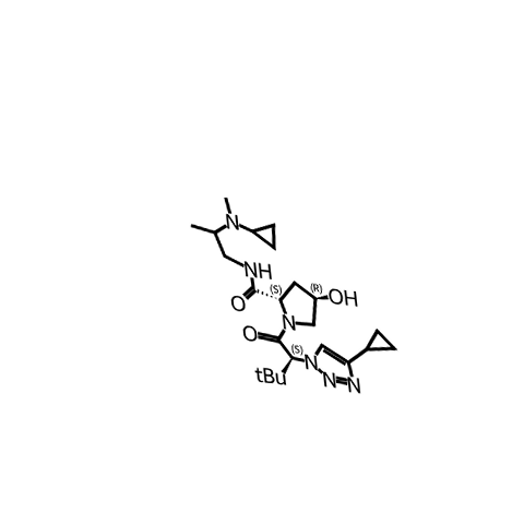 CC(CNC(=O)[C@@H]1C[C@@H](O)CN1C(=O)[C@@H](n1cc(C2CC2)nn1)C(C)(C)C)N(C)C1CC1